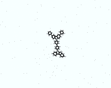 c1ccc(-c2ccc3c(c2)c2cc(-c4ccccc4)ccc2n3-c2ccc(-c3ccc(-n4c5ccccc5c5c6ccccc6oc54)cc3)cc2)cc1